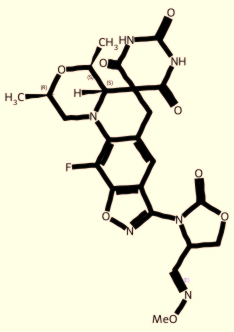 CO/N=C/C1COC(=O)N1c1noc2c(F)c3c(cc12)CC1(C(=O)NC(=O)NC1=O)[C@H]1[C@H](C)O[C@H](C)CN31